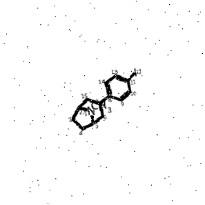 CN1C2CCC1CC(c1ccc(I)cc1)C2